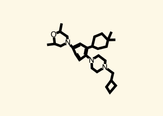 CC1CN(c2ccc(N3CCN(CC4CCC4)CC3)c(C3CCC(C)(C)CC3)c2)CC(C)O1